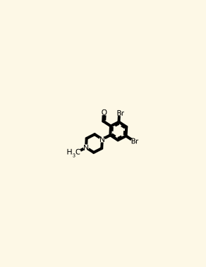 CN1CCN(c2cc(Br)cc(Br)c2C=O)CC1